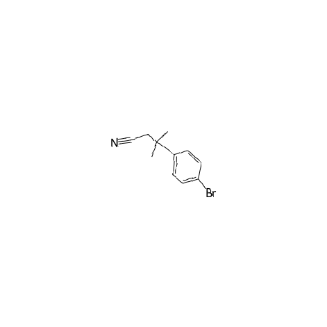 CC(C)(CC#N)c1ccc(Br)cc1